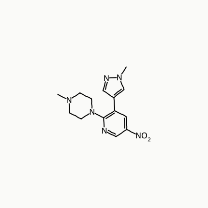 CN1CCN(c2ncc([N+](=O)[O-])cc2-c2cnn(C)c2)CC1